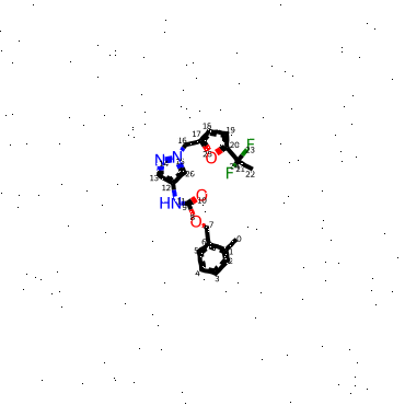 Cc1ccccc1COC(=O)Nc1cnn(Cc2ccc(C(C)(F)F)o2)c1